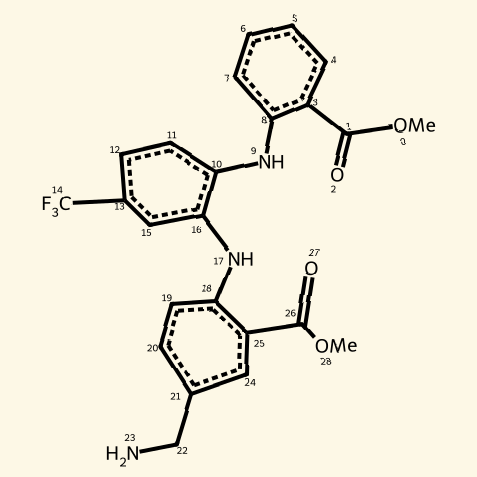 COC(=O)c1ccccc1Nc1ccc(C(F)(F)F)cc1Nc1ccc(CN)cc1C(=O)OC